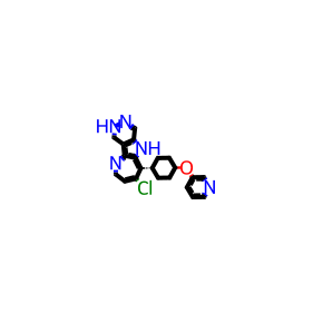 ClC1=CCN=c2c3c([nH]c2=C1[C@H]1CC[C@H](Oc2cccnc2)CC1)C=NNC3